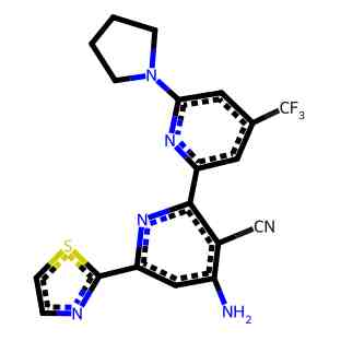 N#Cc1c(N)cc(-c2nccs2)nc1-c1cc(C(F)(F)F)cc(N2CCCC2)n1